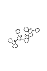 C1=CC2c3ccccc3N(c3cc(-c4ccccc4)nc(-c4cccc5c4oc4c5ccc5c(-c6ccccc6)nc6ccccc6c54)n3)C2C=C1